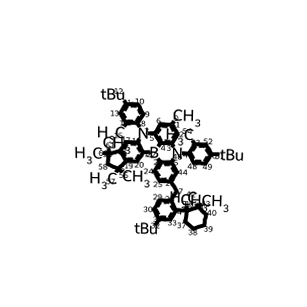 Cc1cc2c3c(c1)N(c1ccc(C(C)(C)C)cc1C)c1cc4c(cc1B3c1ccc(Cc3ccc(C(C)(C)C)cc3C3(C)CCCCC3(C)C)cc1N2c1ccc(C(C)(C)C)cc1C)C(C)(C)CC4(C)C